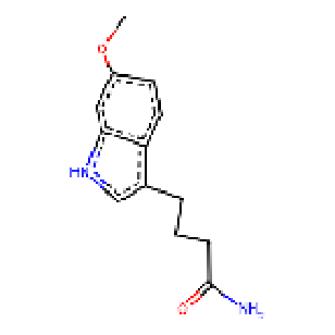 COc1ccc2c(CCCC(N)=O)c[nH]c2c1